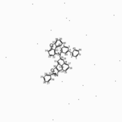 c1ccc(-c2cccc(N(c3cc4c5c(cccc5c3)-c3nc(-c5ccccc5)oc3-4)c3cccc4oc5ccccc5c34)c2)cc1